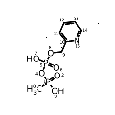 CP(=O)(O)OP(=O)(O)OCc1ccccn1